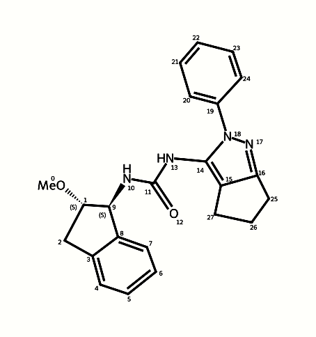 CO[C@H]1Cc2ccccc2[C@@H]1NC(=O)Nc1c2c(nn1-c1ccccc1)CCC2